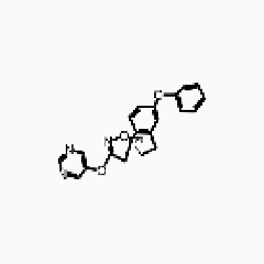 c1ccc(Oc2ccc3c(c2)CC[C@@]32CC(Oc3cncnc3)=NO2)cc1